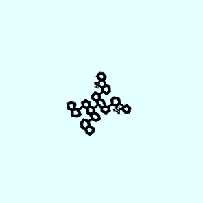 C[Si]1(C)c2ccccc2-c2cccc(-c3cccc4c(-c5c6cccc(-c7cccc8ccccc78)c6cc6c(-c7cccc8ccccc78)cccc56)c5cccc(-c6cccc7c6[Si](C)(C)c6ccccc6-7)c5cc34)c21